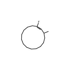 CC1/C=C(/F)CCCCCCCCCCCC1